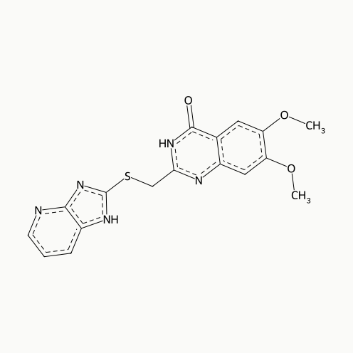 COc1cc2nc(CSc3nc4ncccc4[nH]3)[nH]c(=O)c2cc1OC